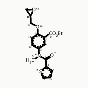 CCOC(=O)c1cc(N(C)C(=O)c2cccs2)ccc1OCC1CO1